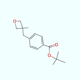 CC1(Cc2ccc(C(=O)OC(C)(C)C)cc2)COC1